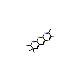 C=C1N=c2nc3nc(C)c(C)cc3cc2=CC1(C)C